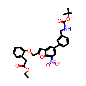 CCOC(=O)Cc1ccccc1OCc1cc2cc(-c3cccc(CNC(=O)OC(C)(C)C)c3)cc([N+](=O)[O-])c2o1